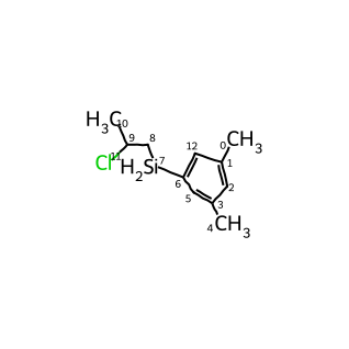 Cc1cc(C)cc([SiH2]CC(C)Cl)c1